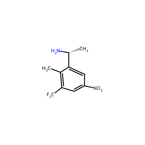 Cc1c([C@@H](C)N)cc([N+](=O)[O-])cc1C(F)(F)F